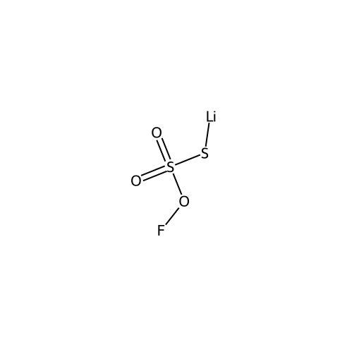 [Li][S]S(=O)(=O)OF